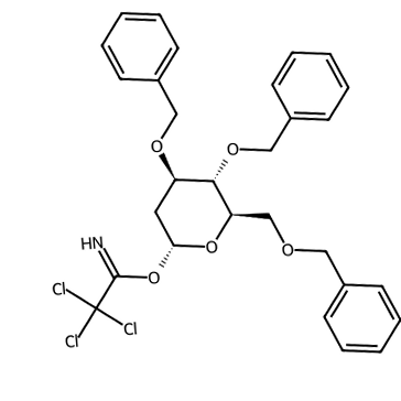 N=C(O[C@@H]1C[C@@H](OCc2ccccc2)[C@H](OCc2ccccc2)[C@@H](COCc2ccccc2)O1)C(Cl)(Cl)Cl